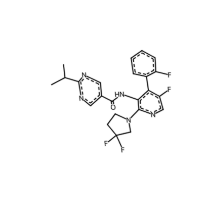 CC(C)c1ncc(C(=O)Nc2c(N3CCC(F)(F)C3)ncc(F)c2-c2ccccc2F)cn1